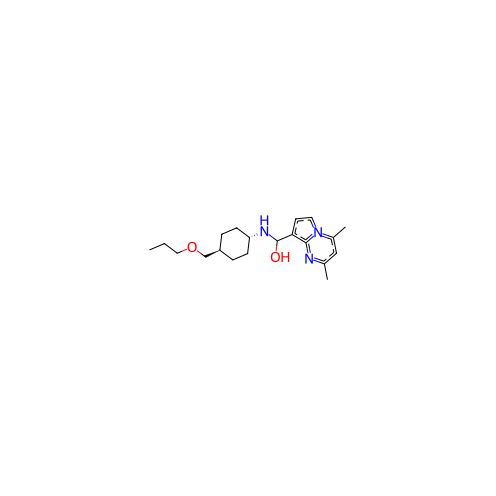 CCCOC[C@H]1CC[C@H](NC(O)c2ccn3c(C)cc(C)nc23)CC1